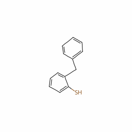 Sc1ccccc1Cc1ccccc1